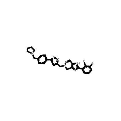 Fc1cccc(-c2nc3c([nH]2)C=NN(Cc2cc(-c4ccc(CN5CCCC5)cc4)no2)C3)c1F